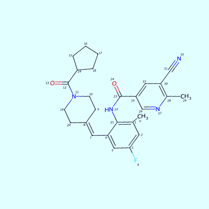 Cc1cc(F)cc(C=C2CCN(C(=O)C3CCCC3)CC2)c1NC(=O)c1cnc(C)c(C#N)c1